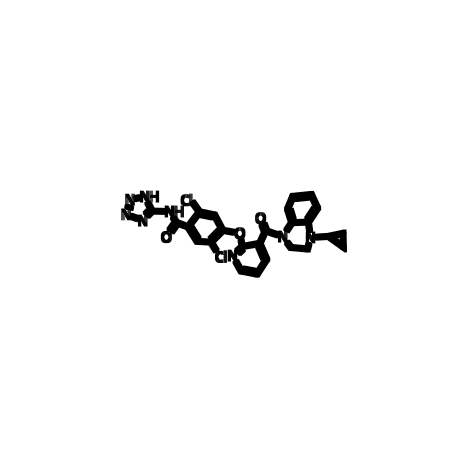 O=C(Nc1nnn[nH]1)c1cc(Cl)c(Oc2ncccc2C(=O)N2CCN(C3CC3)c3ccccc32)cc1Cl